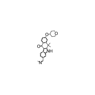 C/N=C\c1ccc2c3c([nH]c2c1)C(C)(C)c1cc(OC2CCOCC2)ccc1C3=O